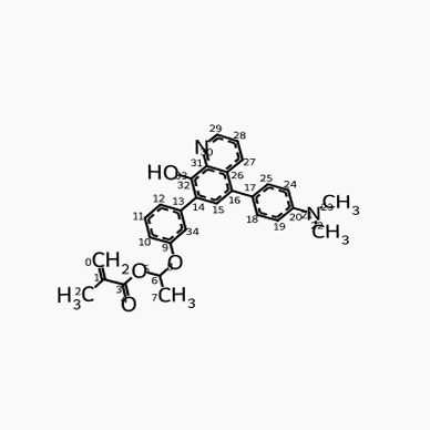 C=C(C)C(=O)OC(C)Oc1cccc(-c2cc(-c3ccc(N(C)C)cc3)c3cccnc3c2O)c1